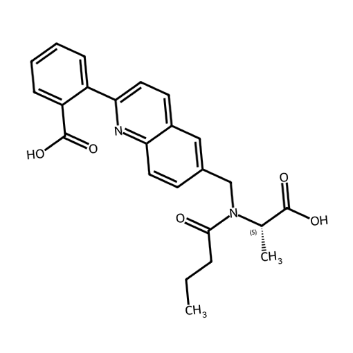 CCCC(=O)N(Cc1ccc2nc(-c3ccccc3C(=O)O)ccc2c1)[C@@H](C)C(=O)O